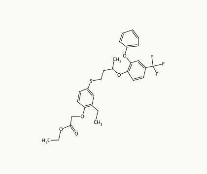 CCOC(=O)COc1ccc(SCCC(C)Oc2ccc(C(F)(F)F)cc2Oc2ccccc2)cc1CC